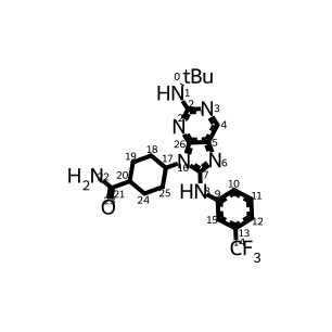 CC(C)(C)Nc1ncc2nc(Nc3cccc(C(F)(F)F)c3)n(C3CCC(C(N)=O)CC3)c2n1